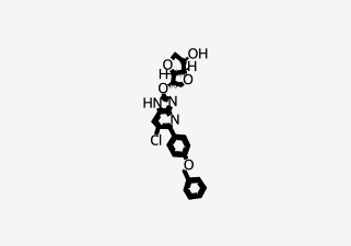 O[C@@H]1CO[C@H]2[C@@H]1OC[C@H]2Oc1nc2nc(-c3ccc(OCc4ccccc4)cc3)c(Cl)cc2[nH]1